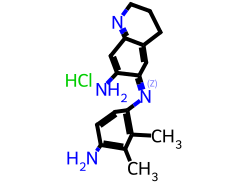 Cc1c(N)ccc(/N=C2/C=C3CCCN=C3C=C2N)c1C.Cl